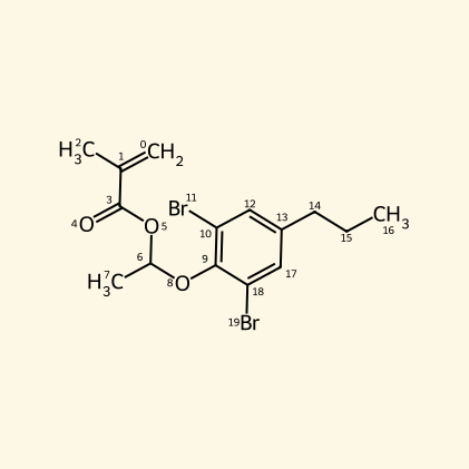 C=C(C)C(=O)OC(C)Oc1c(Br)cc(CCC)cc1Br